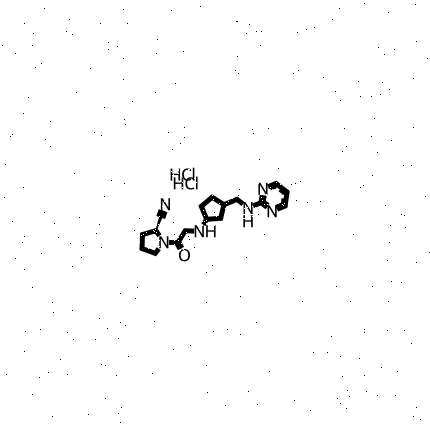 Cl.Cl.N#C[C@@H]1CCCN1C(=O)CNC1CCC(CNc2ncccn2)C1